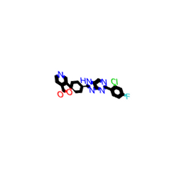 O=C1O[C@]2(CC[C@H](c3nc4nc(-c5ccc(F)cc5Cl)ncc4[nH]3)CC2)c2cnccc21